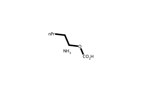 CCCCCOC(=O)O.N